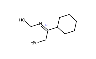 CC(C)(C)C/C(=N\CO)C1CCCCC1